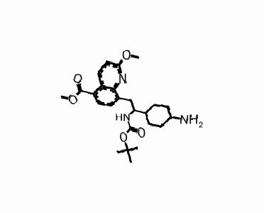 COC(=O)c1ccc(CC(NC(=O)OC(C)(C)C)C2CCC(N)CC2)c2nc(OC)ccc12